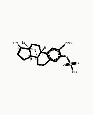 CC[C@]12CC[C@@H]3c4cc(OC)c(OS(N)(=O)=O)cc4CC[C@H]3[C@@H]1CC[C@H]2O